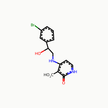 O=C(O)c1c(NCC(O)c2cccc(Br)c2)cc[nH]c1=O